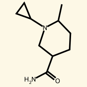 CC1CCC(C(N)=O)CN1C1CC1